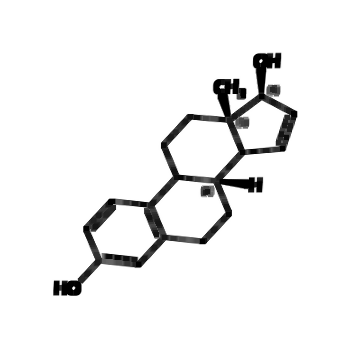 C[C@]12CCC3c4ccc(O)cc4CC[C@H]3C1C=C[C@@H]2O